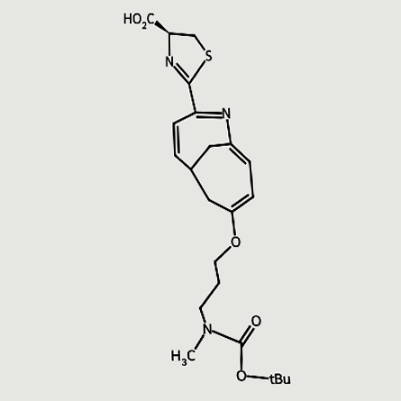 CN(CCCOC1=CC=C2CC(C=CC(C3=N[C@@H](C(=O)O)CS3)=N2)C1)C(=O)OC(C)(C)C